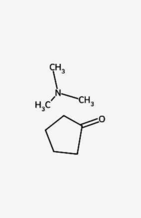 CN(C)C.O=C1CCCC1